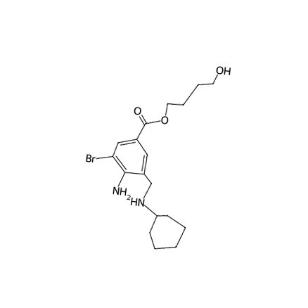 Nc1c(Br)cc(C(=O)OCCCCO)cc1CNC1CCCCC1